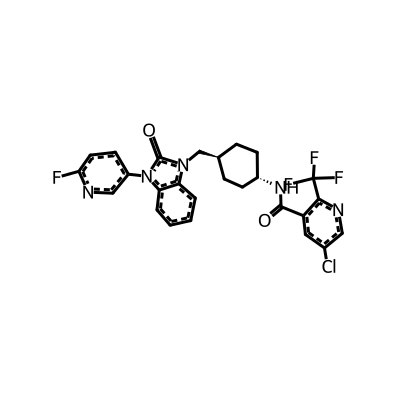 O=C(N[C@H]1CC[C@H](Cn2c(=O)n(-c3ccc(F)nc3)c3ccccc32)CC1)c1cc(Cl)cnc1C(F)(F)F